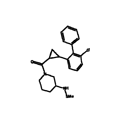 CSNC1CCCN(C(=O)C2CC2c2cccc(Cl)c2-c2ccccc2)C1